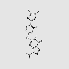 Cc1nc(-c2ccc(Oc3nc4c(cnn4C(C)C)c(=O)n3C)cc2F)cn1C